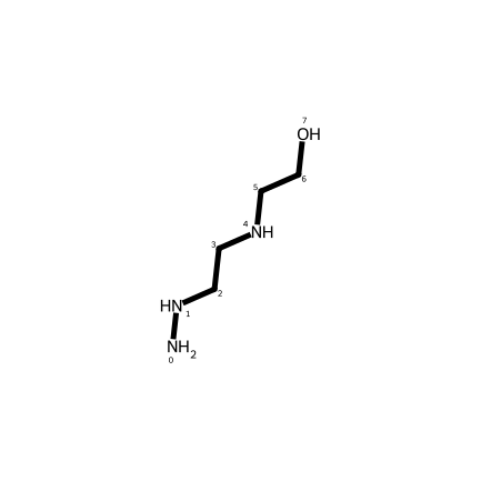 NNCCNCCO